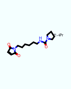 CC(C)[C@H]1CCN(C(=O)NCCCCCCN2C(=O)C=CC2=O)C1